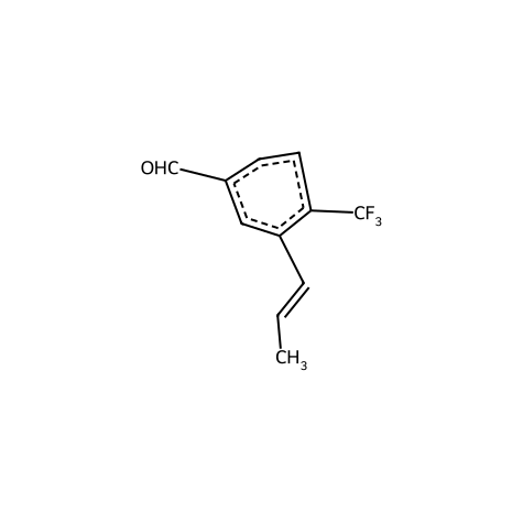 C/C=C/c1cc(C=O)ccc1C(F)(F)F